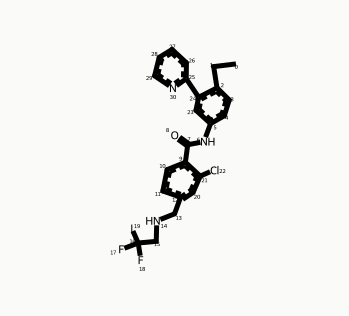 CCc1ccc(NC(=O)c2ccc(CNCC(F)(F)I)cc2Cl)cc1-c1ccccn1